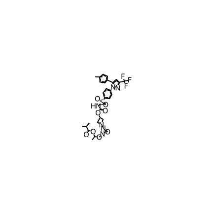 Cc1ccc(-c2cc(C(F)(F)F)nn2-c2ccc(S(=O)(=O)NC(=O)OC3CN(n4on4OC(C)OC(=O)C(C)C)C3)cc2)cc1